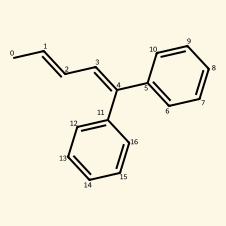 CC=CC=C(c1ccccc1)c1ccccc1